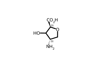 N[C@H]1CO[C@H](C(=O)O)C1O